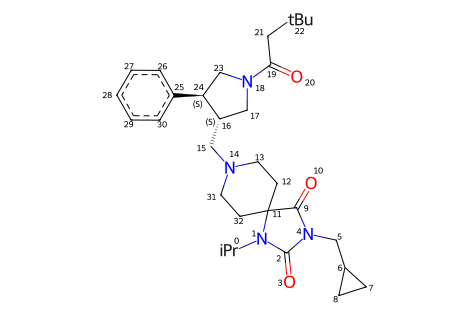 CC(C)N1C(=O)N(CC2CC2)C(=O)C12CCN(C[C@H]1CN(C(=O)CC(C)(C)C)C[C@@H]1c1ccccc1)CC2